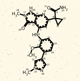 COc1c(Nc2cc(C3(C(N)=O)CC3)nc3[nH]n(C)c(=O)c23)cccc1-c1cnn(C)c1